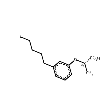 C[C@H](Oc1cccc(CCCCI)c1)C(=O)O